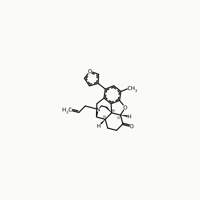 C=CCN1CC[C@@]23c4c5c(-c6ccoc6)cc(C)c4O[C@@H]2C(=O)CC[C@@H]3C1C5